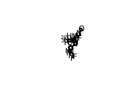 [2H]C([2H])([2H])Oc1nc(N[C@@H]2CN(C3COC3)CC2(F)F)nn2ccc(-c3ccc4nnn(CC(F)(F)F)c4c3)c12